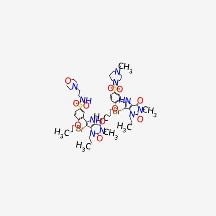 CCCOc1ccc(S(=O)(=O)N2CCCN(C)CC2)cc1-c1[nH]c2c(=O)n(C)c(=O)n(CCC)c2c1Br.CCCOc1ccc(S(=O)(=O)NCCN2CCOCC2)cc1-c1[nH]c2c(=O)n(C)c(=O)n(CCC)c2c1Br